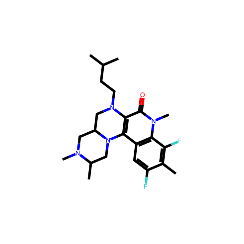 Cc1c(F)cc2c3c(c(=O)n(C)c2c1F)N(CCC(C)C)CC1CN(C)C(C)CN31